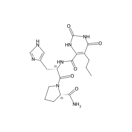 CCCc1c(C(=O)N[C@@H](Cc2c[nH]cn2)C(=O)N2CCC[C@H]2C(N)=O)[nH]c(=O)[nH]c1=O